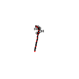 CCCCCCCCCCCCCCCCCCCCCCCC(=O)OCC(O)COP(=O)(O)OCC[N+](C)(C)C